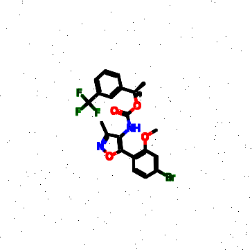 COc1cc(Br)ccc1-c1onc(C)c1NC(=O)O[C@H](C)c1cccc(C(F)(F)F)c1